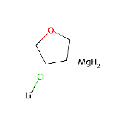 C1CCOC1.[Li][Cl].[MgH2]